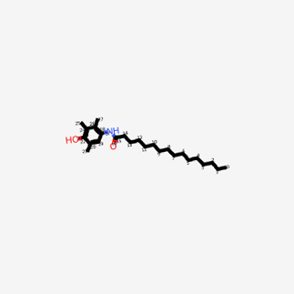 CCCCCCCCCCCCCCCC(=O)Nc1cc(C)c(O)c(C)c1C